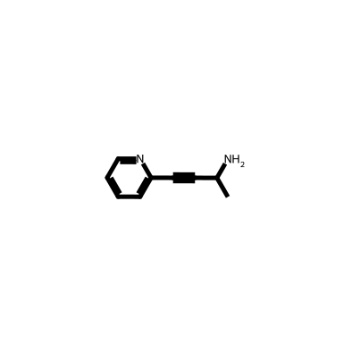 CC(N)C#Cc1ccccn1